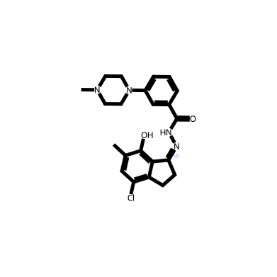 Cc1cc(Cl)c2c(c1O)/C(=N\NC(=O)c1cccc(N3CCN(C)CC3)c1)CC2